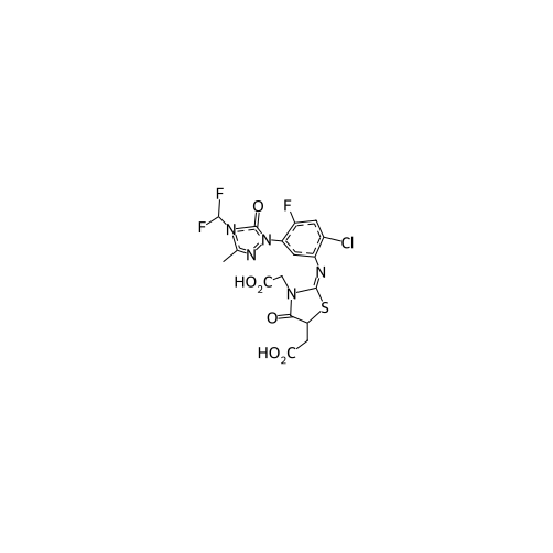 Cc1nn(-c2cc(N=C3SC(CC(=O)O)C(=O)N3CC(=O)O)c(Cl)cc2F)c(=O)n1C(F)F